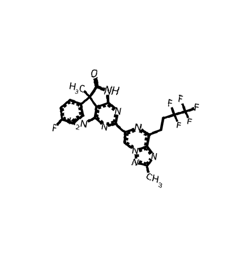 Cc1nc2c(CCC(F)(F)C(F)(F)F)nc(-c3nc(N)c4c(n3)NC(=O)C4(C)c3ccc(F)cc3)cn2n1